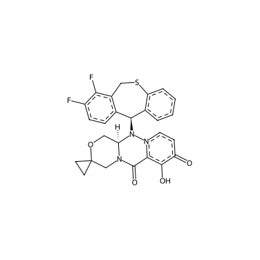 O=C1c2c(O)c(=O)ccn2N([C@@H]2c3ccccc3SCc3c2ccc(F)c3F)[C@@H]2COC3(CC3)CN12